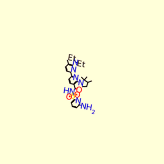 CCN(CC)c1nc(-c2ccc(C(=O)NS(=O)(=O)c3cccc(N)n3)c(N3CCC(C)C3(C)C)n2)ccc1C